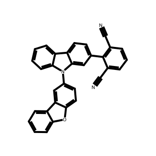 N#Cc1cccc(C#N)c1-c1ccc2c3ccccc3n(-c3ccc4oc5ccccc5c4c3)c2c1